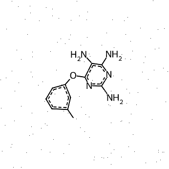 Cc1cccc(Oc2nc(N)nc(N)c2N)c1